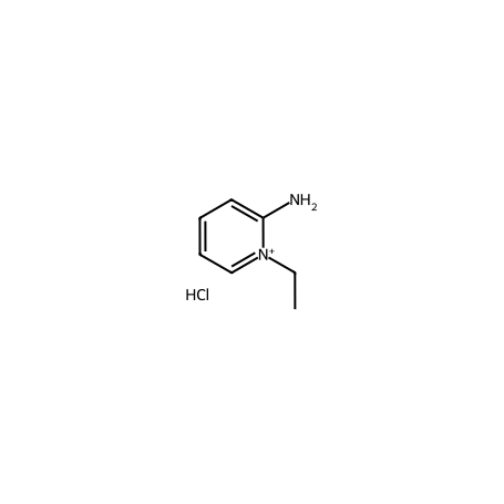 CC[n+]1ccccc1N.Cl